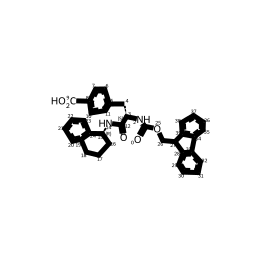 O=C(N[C@@H](Cc1ccc(C(=O)O)cc1)C(=O)N[C@@H]1CCCc2ccccc21)OCC1c2ccccc2-c2ccccc21